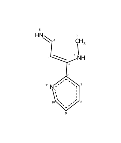 CN/C(=C\C=N)c1ccccn1